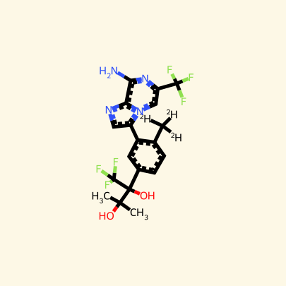 [2H]C([2H])([2H])c1ccc(C(O)(C(C)(C)O)C(F)(F)F)cc1-c1cnc2c(N)nc(C(F)(F)F)cn12